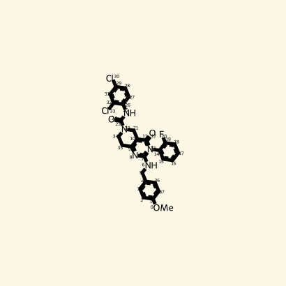 COc1ccc(CNc2nc3c(c(=O)n2-c2ccccc2F)CN(C(=O)Nc2ccc(Cl)cc2Cl)CC3)cc1